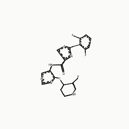 O=C(Nc1cncnc1OC1CCNCC1F)c1csc(-c2c(F)cccc2F)n1